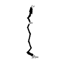 C#CCNCCCCCCCCCC